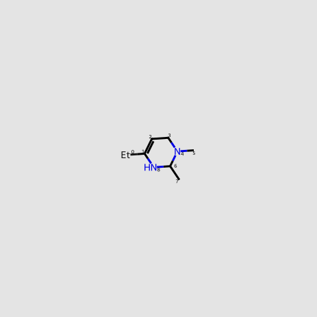 CCC1=CCN(C)C(C)N1